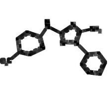 Nc1nc(Nc2ccc(C(=O)O)cc2)nn1-c1ccccc1